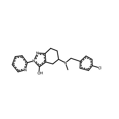 CN(Cc1ccc(Cl)cc1)C1CCc2nn(-c3ccccn3)c(O)c2C1